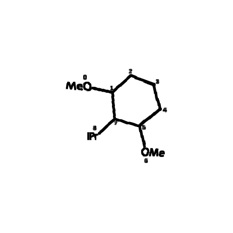 COC1CCCC(OC)C1C(C)C